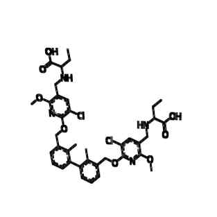 CCC(NCc1cc(Cl)c(OCc2cccc(-c3cccc(COc4nc(OC)c(CNC(CC)C(=O)O)cc4Cl)c3C)c2C)nc1OC)C(=O)O